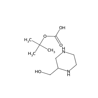 CC(C)(C)OC(=O)O.OCC1CNCCN1